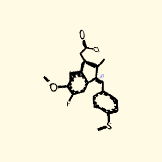 COc1cc2c(cc1F)/C(=C\c1ccc(SC)cc1)C(C)=C2CC(=O)Cl